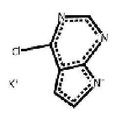 Clc1ncnc2[n-]ccc12.[K+]